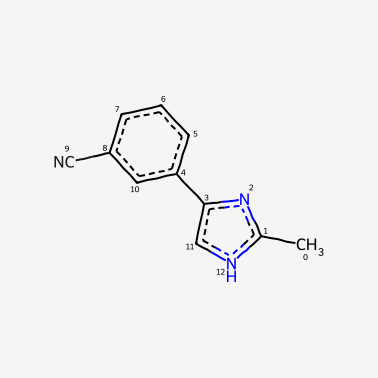 Cc1nc(-c2cccc(C#N)c2)c[nH]1